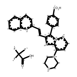 O=C(O)C(F)(F)F.O=C(O)c1ccc(-c2c(C=Cc3ccc4ccccc4n3)nc3c(N4CCOCC4)ccnn23)cc1